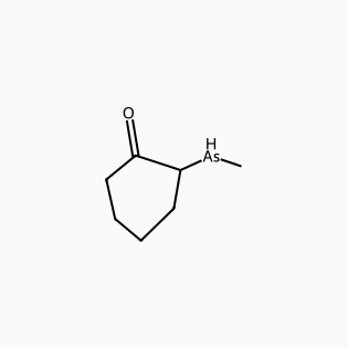 C[AsH]C1CCCCC1=O